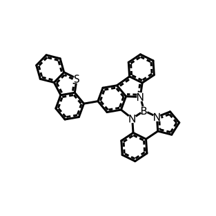 c1ccc2c(c1)-c1cccn1B1N2c2cc(-c3cccc4c3sc3ccccc34)cc3c4ccccc4n1c23